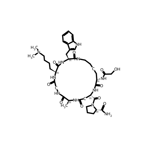 C[C@@H]1NC(=O)C[C@@H](C(=O)N2CCC[C@H]2C(N)=O)NC(=O)[C@@H](NC(=O)CO)CCCCNC(=O)[C@H](Cc2c[nH]c3ccccc23)NC(=O)[C@H](CCCCN(C)C)NC(=O)CNC1=O